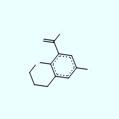 O=C(O)c1cc(Br)cc2c1NCCC2